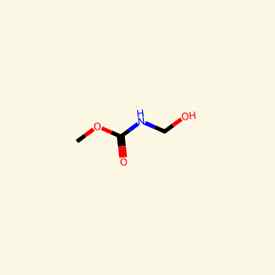 COC(=O)NCO